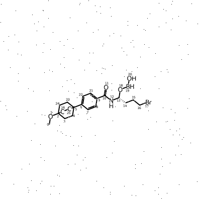 COC12CCC(c3ccc(C(=O)N[C@@H](CCCBr)OBO)cc3)(CC1)CC2